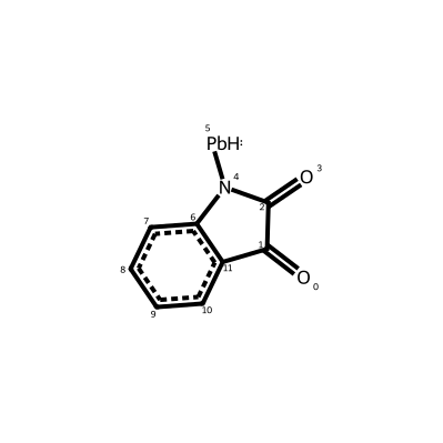 O=C1C(=O)[N]([PbH])c2ccccc21